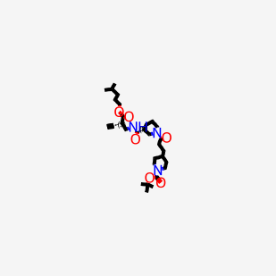 C#C[C@@H](CNC(=O)[C@@H]1CCCN(C(=O)CCC2CCN(C(=O)OC(C)(C)C)CC2)C1)C(=O)OCCCC(C)C